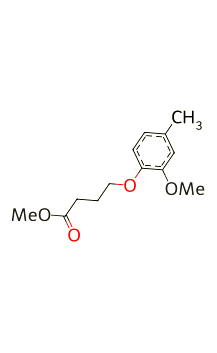 COC(=O)CCCOc1ccc(C)cc1OC